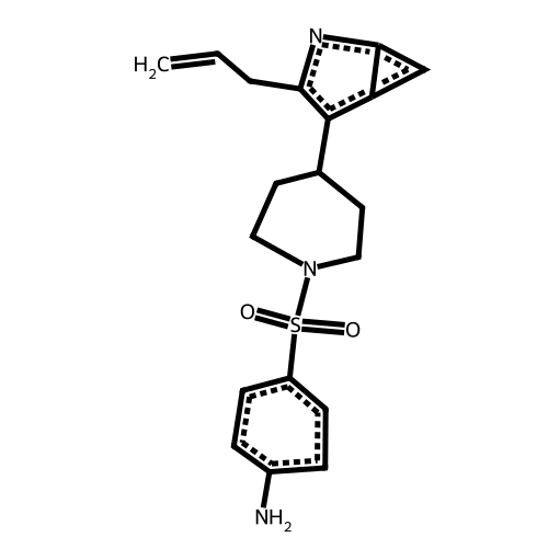 C=CCc1nc2cc-2c1C1CCN(S(=O)(=O)c2ccc(N)cc2)CC1